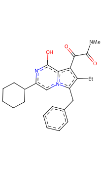 CCc1c(C(=O)C(=O)NC)c2c(O)nc(C3CCCCC3)cn2c1Cc1ccccc1